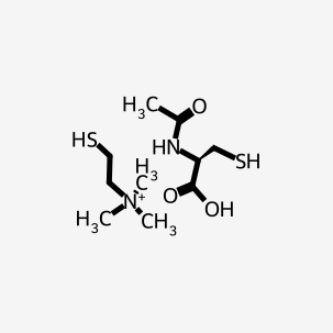 CC(=O)N[C@@H](CS)C(=O)O.C[N+](C)(C)CCS